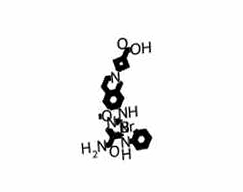 COc1cc2c(cc1Nc1ncc(C(N)=O)c(Nc3ccccc3Br)n1)CN(C1CC(C(=O)O)C1)CC2